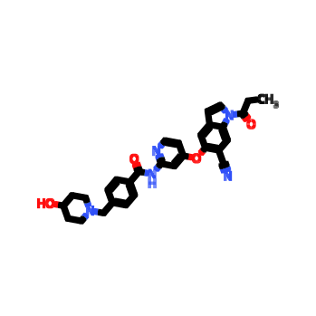 CCC(=O)n1ccc2cc(Oc3ccnc(NC(=O)c4ccc(CN5CCC(O)CC5)cc4)c3)c(C#N)cc21